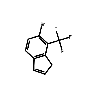 FC(F)(F)c1c(Br)ccc2c1CC=C2